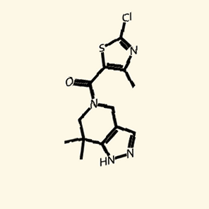 Cc1nc(Cl)sc1C(=O)N1Cc2cn[nH]c2C(C)(C)C1